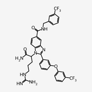 N=C(N)NCCCC(C(N)=O)n1c(-c2cccc(Oc3cccc(C(F)(F)F)c3)c2)nc2cc(C(=O)NCc3cccc(C(F)(F)F)c3)ccc21